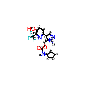 CN(C(=O)OCc1c(-c2ccc(O)c(C(F)(F)F)n2)cnn1C)C1CCCC1